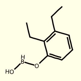 CCc1cccc(OBO)c1CC